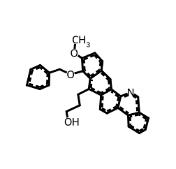 COc1ccc2cc3c(ccc4c5ccccc5cnc34)c(CCCO)c2c1OCc1ccccc1